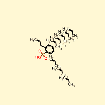 C=CC.C=CC.C=CC.C=CC.C=CC.C=CC.C=CC.C=CC.C=CCc1ccccc1S(=O)(=O)O